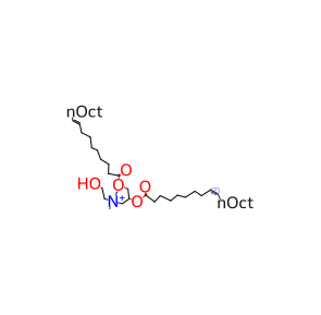 CCCCCCCCC=CCCCCCCCC(=O)OCC(C[N+](C)(C)CCO)OC(=O)CCCCCCC/C=C\CCCCCCCC